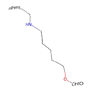 CCCCCCNCCCCCOC=O